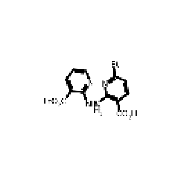 CCOC(=O)c1cccnc1N.CCc1ccc(C(=O)O)c(N)n1